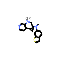 CN(CCN(C=O)c1cnccc1C1CC1)c1ccc2ccsc2c1